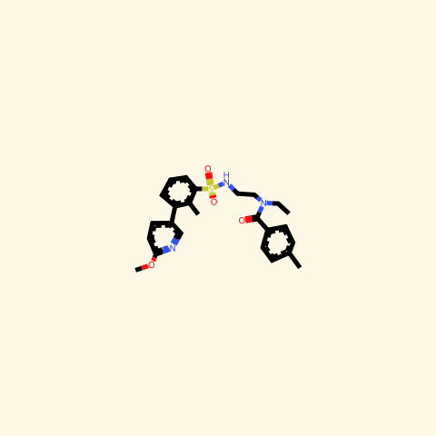 CCN(CCNS(=O)(=O)c1cccc(-c2ccc(OC)nc2)c1C)C(=O)c1ccc(C)cc1